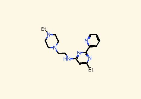 CCc1cc(NCCN2CCN(CC)CC2)nc(-c2ccccn2)n1